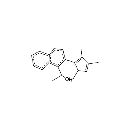 CC1=CC(C)C(c2ccc3ccccc3c2C(C)O)=C1C